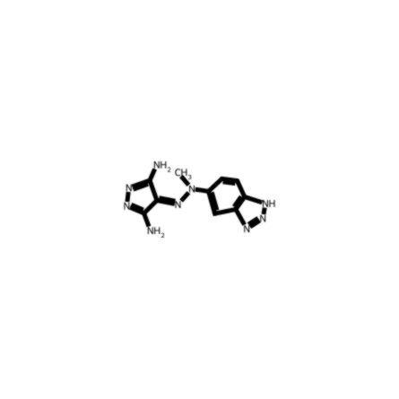 CN(N=C1C(N)=NN=C1N)c1ccc2[nH]nnc2c1